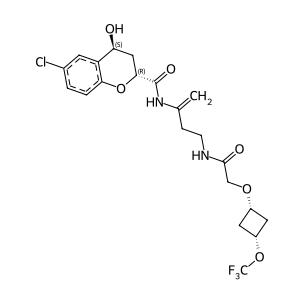 C=C(CCNC(=O)CO[C@H]1C[C@@H](OC(F)(F)F)C1)NC(=O)[C@H]1C[C@H](O)c2cc(Cl)ccc2O1